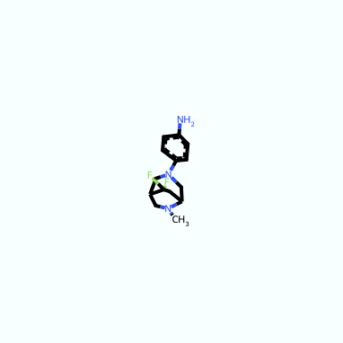 CN1CC2CN(c3ccc(N)cc3)CC1CC2(F)F